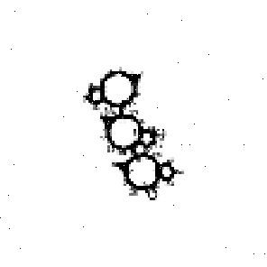 C1=CC2CCCC3CC3C/C=C(/C3CCC4/C(=C(/C5CCC6=C(CCC6)C6OC6CCC6CC65)CCCC5CC53)CC3OC34)CC2C1